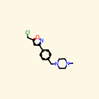 CN1CCN(Cc2ccc(-c3cc(CCl)on3)cc2)CC1